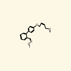 COC/C=C\COc1ccc(-c2ccccc2/C=N\OI)cc1